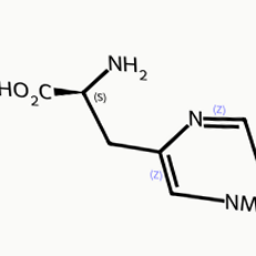 CN/C=C(C[C@H](N)C(=O)O)\N=C/I